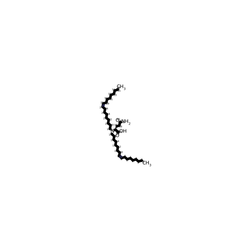 CCCCCCCC/C=C\CCCCCCCCN(CCCCCCCC/C=C\CCCCCCCC)[C@@H](CCC(N)=O)C(=O)O